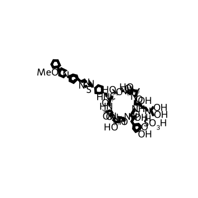 COC1(C2CCCCC2)CCN(c2ccc(-c3cn4nc([C@H]5CC[C@H](CN[C@H]6C[C@@H](O)CNC(=O)[C@@H]7[C@@H](O)[C@@H](C)CN7C(=O)[C@H]([C@H](O)CCNC(CO)CO)NC(=O)[C@H]([C@H](O)Cc7ccc(O)c(OS(=O)(=O)O)c7)NC(=O)[C@@H]7C[C@@H](O)CN7C(=O)C([C@@H](C)O)NC6=O)CC5)sc4n3)cc2)CC1